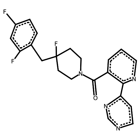 O=C(c1cccnc1-c1ccncn1)N1CCC(F)(Cc2ccc(F)cc2F)CC1